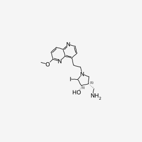 COc1ccc2nccc(CCN3C[C@H](CN)[C@H](O)C3I)c2n1